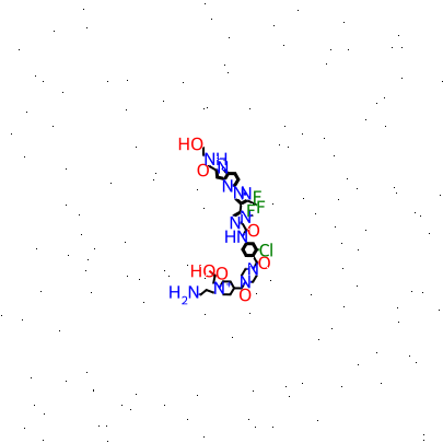 Cn1c(-c2cn(-c3ccc4c(cc(C(=O)NCCO)n4C)n3)nc2C(F)(F)F)cnc1C(=O)Nc1ccc(C(=O)N2CCN(C(=O)C3CC[N+](CCCN)(CC(=O)O)CC3)CC2)c(Cl)c1